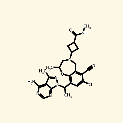 CNC(=O)C1CC(N2Cc3c(C#N)c(Cl)cc(C(C)n4nc(C)c5c(N)ncnc54)c3OC(C)C2)C1